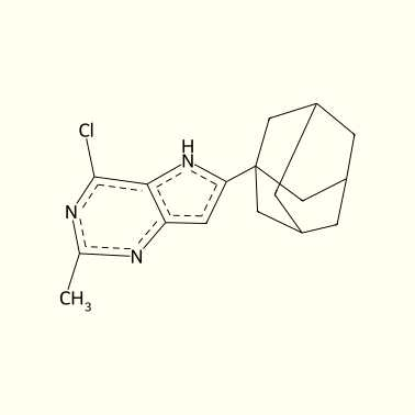 Cc1nc(Cl)c2[nH]c(C34CC5CC(CC(C5)C3)C4)cc2n1